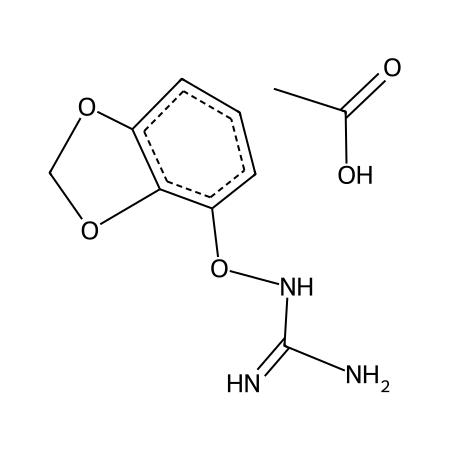 CC(=O)O.N=C(N)NOc1cccc2c1OCO2